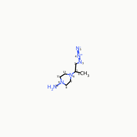 CC(CN=[N+]=[N-])N1CCN(N)CC1